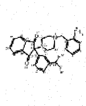 Cc1ccccc1CN1CCN(C2(c3cccc(C(F)F)c3)C(=O)c3ccccc3C2=O)CC1